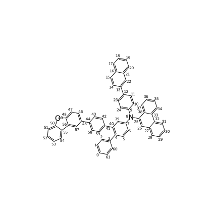 c1ccc(-c2ccc(N(c3ccc(-c4ccc5ccccc5c4)cc3)c3cc4ccccc4c4ccccc34)cc2-c2ccc(-c3ccc4oc5ccccc5c4c3)cc2)cc1